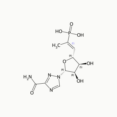 C/C(=C\[C@H]1O[C@@H](n2cnc(C(N)=O)n2)[C@H](O)[C@@H]1O)P(=O)(O)O